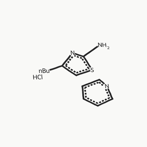 CCCCc1csc(N)n1.Cl.c1ccncc1